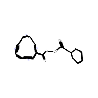 O=C(OOC(=O)C1CCCCC1)C1=C/C=C\C=C/C=C\1